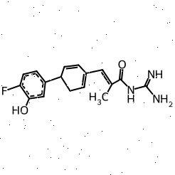 C/C(=C\C1=CCC(c2ccc(F)c(O)c2)C=C1)C(=O)NC(=N)N